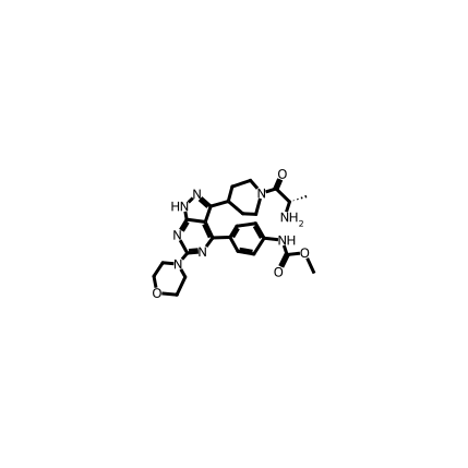 COC(=O)Nc1ccc(-c2nc(N3CCOCC3)nc3[nH]nc(C4CCN(C(=O)[C@H](C)N)CC4)c23)cc1